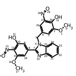 COc1cc(Cn2c(-c3cc(O)c(N=O)c(OC)c3)nc3ccccc32)cc(N=O)c1O